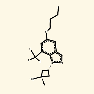 CCCCOc1cc(C(F)(F)F)c2c(cnn2[C@H]2C[C@@](C)(O)C2)c1